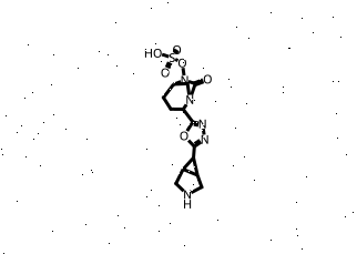 O=C1N2CC(CCC2c2nnc(C3C4CNCC43)o2)N1OS(=O)(=O)O